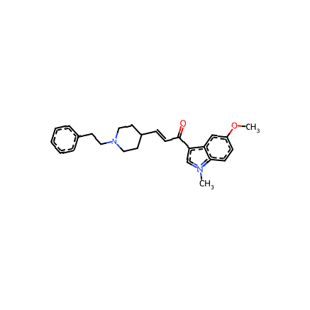 COc1ccc2c(c1)c(C(=O)/C=C/C1CCN(CCc3ccccc3)CC1)cn2C